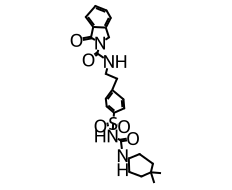 CC1(C)CCC(NC(=O)NS(=O)(=O)c2ccc(CCNC(=O)N3Cc4ccccc4C3=O)cc2)CC1